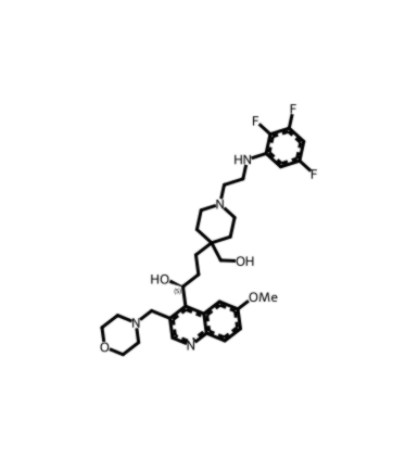 COc1ccc2ncc(CN3CCOCC3)c([C@@H](O)CCC3(CO)CCN(CCNc4cc(F)cc(F)c4F)CC3)c2c1